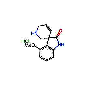 COc1cccc2c1[C@@]1(C=CCNC1)C(=O)N2.Cl